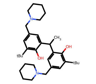 CC(c1cc(CN2CCCCC2)cc(C(C)(C)C)c1O)c1cc(CN2CCCCC2)cc(C(C)(C)C)c1O